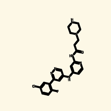 O=C(CCN1CCNCC1)Nc1cc(Nc2cnnc(-c3cc(Cl)ccc3F)c2)ccn1